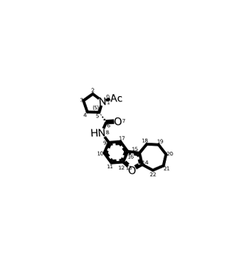 CC(=O)N1CCC[C@H]1C(=O)Nc1ccc2oc3c(c2c1)CCCCC3